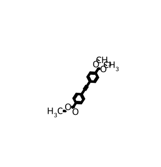 CCOC(=O)c1ccc(C#Cc2ccc(C(OC)OC)cc2)cc1